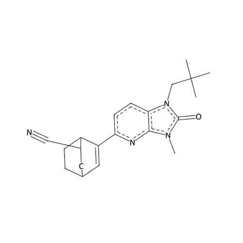 Cn1c(=O)n(CC(C)(C)C)c2ccc(C3=CC4CCC3C(C#N)C4)nc21